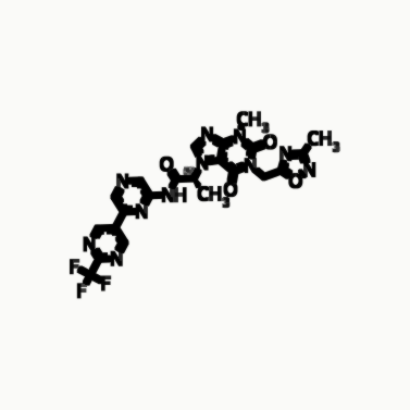 Cc1noc(Cn2c(=O)c3c(ncn3[C@@H](C)C(=O)Nc3cncc(-c4cnc(C(F)(F)F)nc4)n3)n(C)c2=O)n1